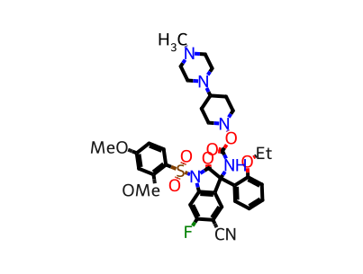 CCOc1ccccc1C1(NC(=O)ON2CCC(N3CCN(C)CC3)CC2)C(=O)N(S(=O)(=O)c2ccc(OC)cc2OC)c2cc(F)c(C#N)cc21